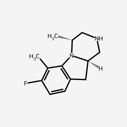 Cc1c(F)ccc2c1N1[C@@H](CNC[C@H]1C)C2